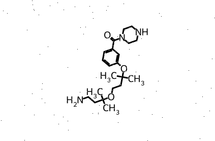 CC(C)(CCN)OCCC(C)(C)Oc1cccc(C(=O)N2CCNCC2)c1